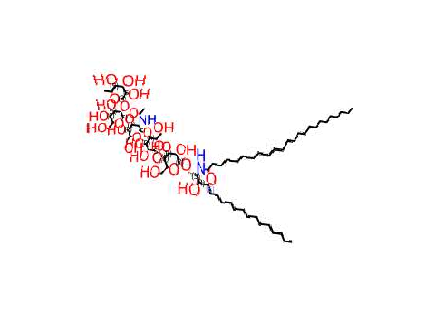 CCCCCCCCCCCCC/C=C/[C@@H](O)[C@H](CO[C@@H]1OC(CO)[C@@H](O[C@@H]2OC(CO)[C@H](O[C@@H]3OC(CO)[C@H](O)[C@H](O[C@@H]4OC(CO)[C@H](O)[C@H](O)C4O[C@H]4OC(C)[C@@H](O)C(O)[C@@H]4O)C3NC(C)=O)[C@H](O)C2O)[C@H](O)C1O)NC(=O)CCCCCCCCCCCCCCCCCCCCCCC